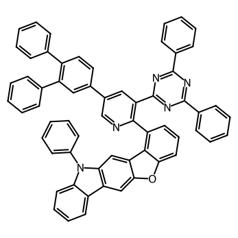 c1ccc(-c2nc(-c3ccccc3)nc(-c3cc(-c4ccc(-c5ccccc5)c(-c5ccccc5)c4)cnc3-c3cccc4oc5cc6c7ccccc7n(-c7ccccc7)c6cc5c34)n2)cc1